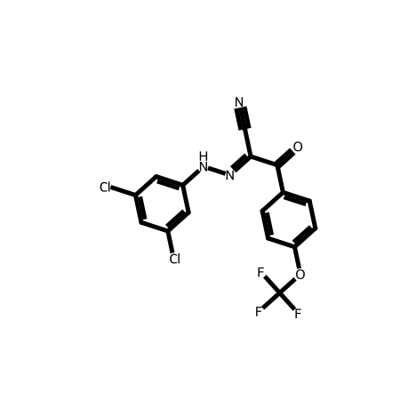 N#C/C(=N\Nc1cc(Cl)cc(Cl)c1)C(=O)c1ccc(OC(F)(F)F)cc1